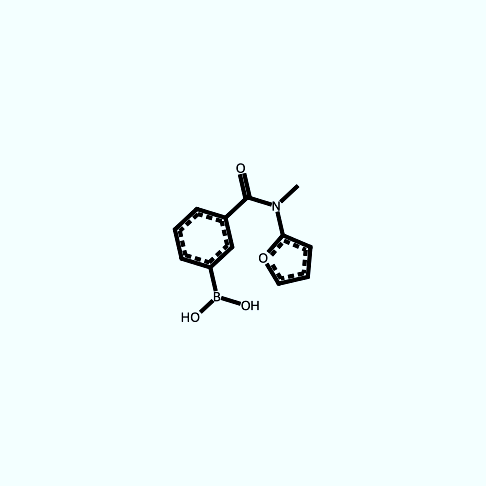 CN(C(=O)c1cccc(B(O)O)c1)c1ccco1